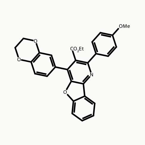 CCOC(=O)c1c(-c2ccc(OC)cc2)nc2c(oc3ccccc32)c1-c1ccc2c(c1)OCCO2